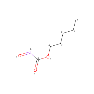 CCCCCOC(=O)I=O